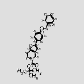 CC(C)(C)OC(=O)N1CCc2oc(-c3ccc(OCc4ccccc4)cc3)cc2C1